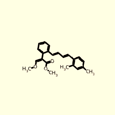 COC=C(C(=O)OC)c1ccccc1C=CC=Cc1ccc(C)cc1C